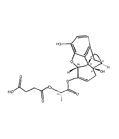 C[C@H](OC(=O)CCC(=O)O)C(=O)OC1=CC[C@@]2(O)[C@@H]3CCC[C@@]24c2c(ccc(O)c2O[C@@H]14)C3